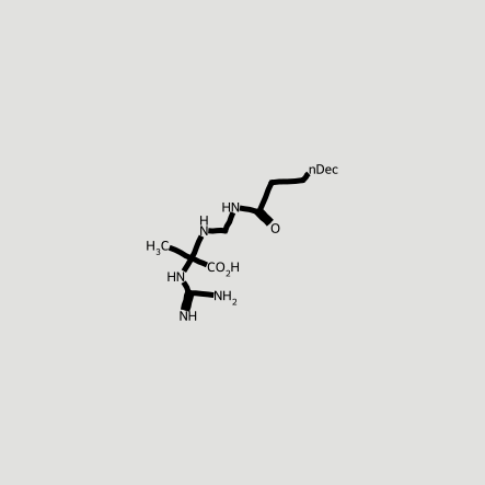 CCCCCCCCCCCCC(=O)NCNC(C)(NC(=N)N)C(=O)O